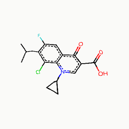 CC(C)c1c(F)cc2c(=O)c(C(=O)O)cn(C3CC3)c2c1Cl